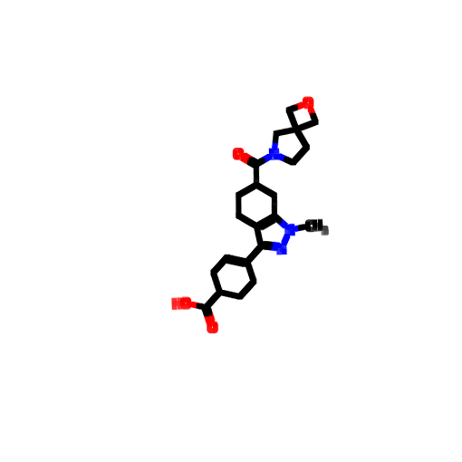 Cn1nc(C2=CCC(C(=O)O)CC2)c2c1CC(C(=O)N1CCC3(COC3)C1)CC2